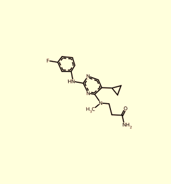 CN(CCC(N)=O)c1nc(Nc2cccc(F)c2)ncc1C1CC1